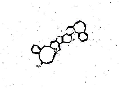 C=C1/C=C\C=C/NC(/C=c2/sc3c(/c2=C/N)CNC(N2C(=C\C)/C=C\C=C/c4ccccc42)=C3)Cc2ccccc2C1